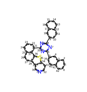 c1ccc2cc(-c3nc(-c4ccc5ccccc5c4)nc(-c4cccc5ccc6c7cnccc7sc6c45)n3)ccc2c1